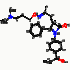 CCCCN(CCCC)CCCON=C(C)/C=C1/C(=O)N(c2ccc(C(=O)OC)cc2)C1c1ccccc1